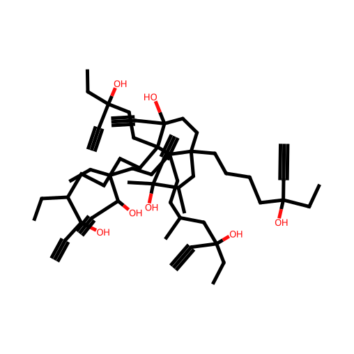 C#CC(O)C(CC)CCCCC1(CCC(O)(C#C)CC)C(O)(C#C)CCC(CCCCC(O)(C#C)CC)(CC(C)C(C)(O)C#C)C1(CCC(C)CC(O)(C#C)CC)CCC(CC)C(O)C#C